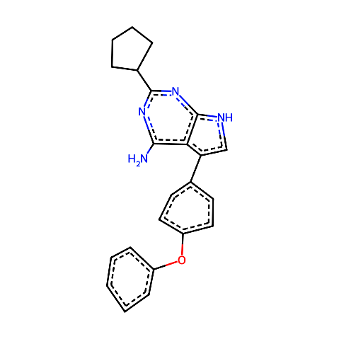 Nc1nc(C2CCCC2)nc2[nH]cc(-c3ccc(Oc4ccccc4)cc3)c12